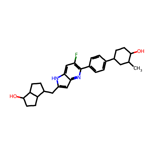 CC1CC(c2ccc(-c3nc4cc(CC5CCC6C(O)CCC56)[nH]c4cc3F)cc2)CCC1O